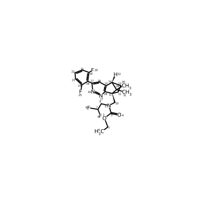 CCOC(=O)N(CC(F)F)C[C@@]12CC[C@@H](c3cc(-c4c(F)cccc4F)nnc31)C2(C)C